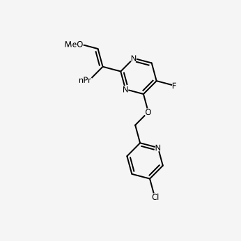 CCC/C(=C\OC)c1ncc(F)c(OCc2ccc(Cl)cn2)n1